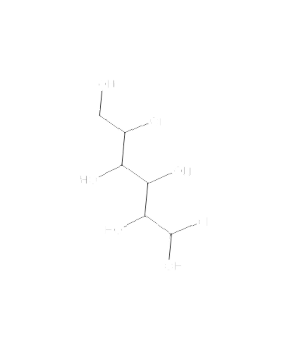 OCC(O)C(O)C(O)C(O)C(O)Cl